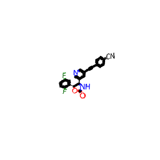 N#Cc1ccc(C#Cc2cncc([C@H]3NC(=O)O[C@@H]3c3cc(F)ccc3F)c2)cc1